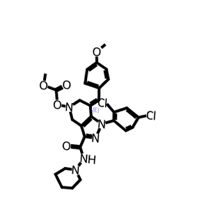 COC(=O)ON1C/C(=C\c2ccc(OC)cc2)c2c(c(C(=O)NN3CCCCC3)nn2-c2ccc(Cl)cc2Cl)C1